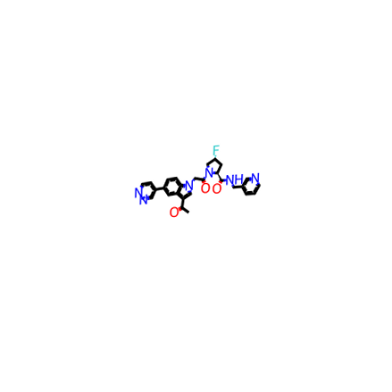 CC(=O)c1cn(CC(=O)N2C[C@H](F)C[C@H]2C(=O)NCc2cccnc2)c2ccc(-c3ccnnc3)cc12